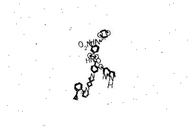 O=C(NS(=O)(=O)c1ccc(NC[C@H]2COCCO2)c([N+](=O)[O-])c1)c1ccc(N2CC3(CC(N4CCC[C@H]4c4ccccc4C4CC4)C3)C2)cc1Oc1cnc2[nH]ccc2c1